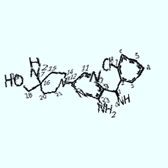 N=C(c1ccccc1Cl)c1ncc(N2CCC(N)(CO)CC2)nc1N